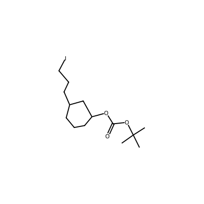 CC(C)(C)OC(=O)OC1CCCC(CCCI)C1